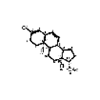 CC(=O)O[C@H]1CCC2C3C=CC4C=C(Cl)CC[C@@H]4C3CC[C@@]21C